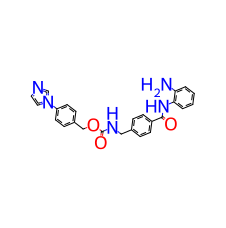 Nc1ccccc1NC(=O)c1ccc(CNC(=O)OCc2ccc(-n3ccnc3)cc2)cc1